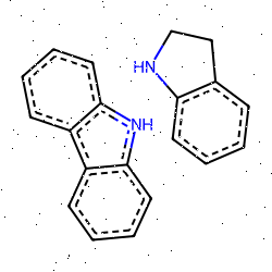 c1ccc2c(c1)CCN2.c1ccc2c(c1)[nH]c1ccccc12